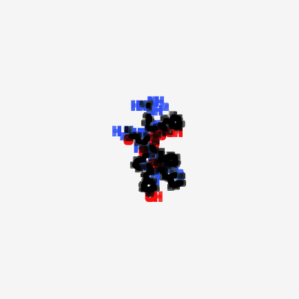 N=C(N)NCCC[C@H](NC(=O)[C@H](CCC(N)=O)NC(=O)[C@H](Cc1c[nH]c2ccccc12)NC(=O)[C@@H]1CCCN1C(=O)[C@H](Cc1ccc(O)cc1)NC(=O)[C@@H](N)Cc1cccnc1)C(=O)N[C@@H](Cc1ccccc1)C(=O)O